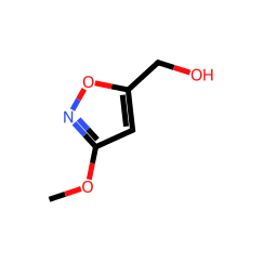 COc1cc(CO)on1